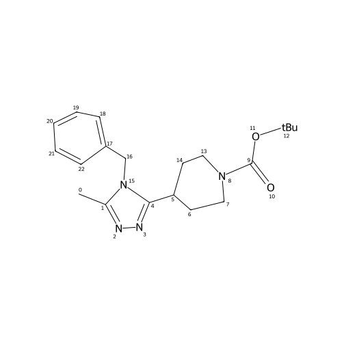 Cc1nnc(C2CCN(C(=O)OC(C)(C)C)CC2)n1Cc1ccccc1